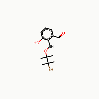 CC(C)(S)C(C)(C)OBc1c(O)cccc1C=O